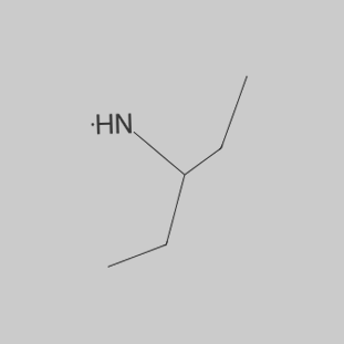 CCC([NH])CC